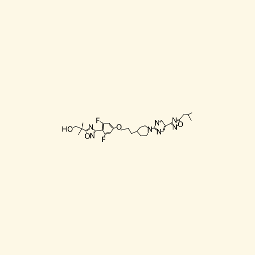 CC(C)Cc1nc(-c2cnc(N3CCC(CCCOc4cc(F)c(-c5noc(C(C)(C)CO)n5)c(F)c4)CC3)nc2)no1